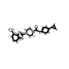 O=C(Cc1ccc(C2CC2)cc1)N1CCN(c2nc3c(Cl)cccc3s2)CC1